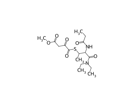 CCC(=O)NC(C(=O)N(CC)CC)C(C)SC(=O)C(=O)CC(=O)OC